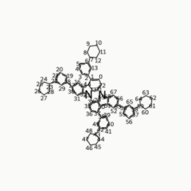 C1=C(c2cccc(C3CCCCC3)c2)C2c3cc(-c4cccc(C5CCCCC5)c4)ccc3N3c4ccc(-c5cccc(C6CCCCC6)c5)c5c6cc(-c7cccc(C8CCCCC8)c7)ccc6n(c45)C(=C1)C23